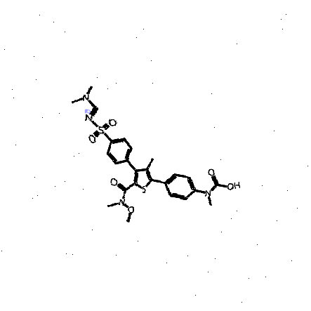 CON(C)C(=O)c1sc(-c2ccc(N(C)C(=O)O)cc2)c(C)c1-c1ccc(S(=O)(=O)/N=C/N(C)C)cc1